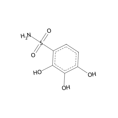 NS(=O)(=O)c1ccc(O)c(O)c1O